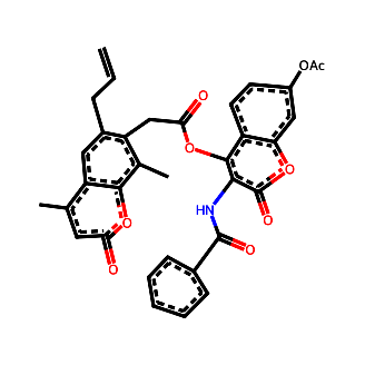 C=CCc1cc2c(C)cc(=O)oc2c(C)c1CC(=O)Oc1c(NC(=O)c2ccccc2)c(=O)oc2cc(OC(C)=O)ccc12